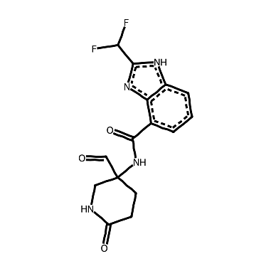 O=CC1(NC(=O)c2cccc3[nH]c(C(F)F)nc23)CCC(=O)NC1